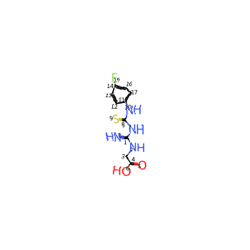 N=C(NCC(=O)O)NC(=S)Nc1ccc(F)cc1